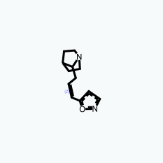 C(=C/c1ccno1)/CC1C2CCN1CC2